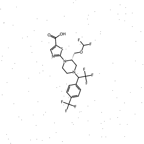 O=C(O)c1cnc(N2CCN(C(c3ccc(C(F)(F)F)cc3)C(F)(F)F)C[C@H]2COC(F)F)s1